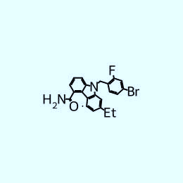 CCc1c[c]c2c3c(C(N)=O)cccc3n(Cc3ccc(Br)cc3F)c2c1